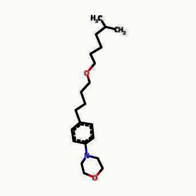 CC(C)CCCCOCCCCc1ccc(N2CCOCC2)cc1